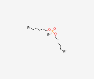 CC(C)CCCCCOP(=O)(OCCCCCC(C)C)C(C)C